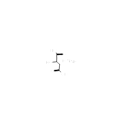 N.N.O=C(O)CC(O)C(=O)O